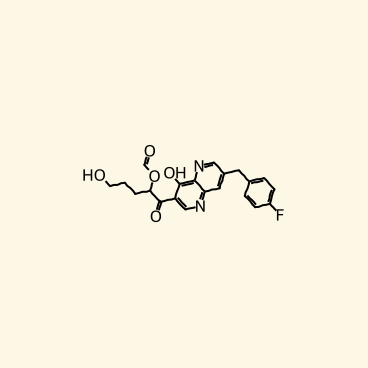 O=COC(CCCO)C(=O)c1cnc2cc(Cc3ccc(F)cc3)cnc2c1O